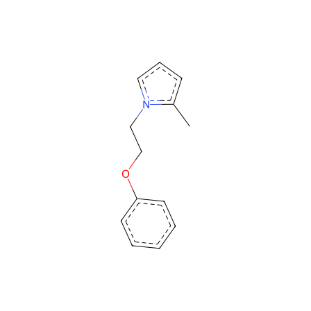 Cc1cccn1CCOc1ccccc1